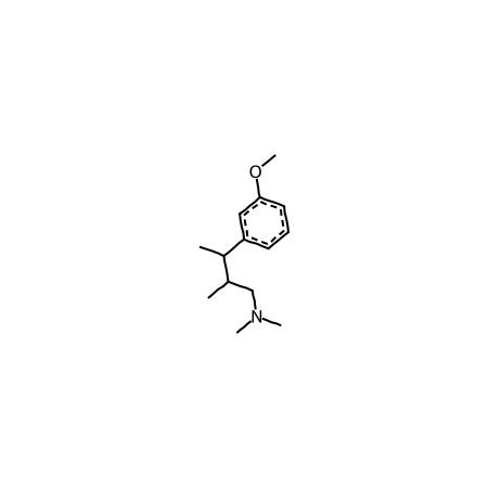 COc1cccc(C(C)C(C)CN(C)C)c1